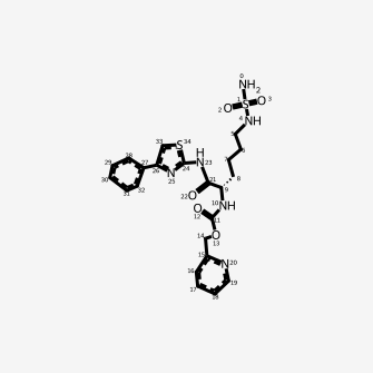 NS(=O)(=O)NCCCC[C@H](NC(=O)OCc1ccccn1)C(=O)Nc1nc(-c2ccccc2)cs1